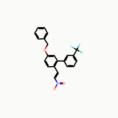 O=[N+]([O-])C=Cc1ccc(OCc2ccccc2)cc1-c1cccc(C(F)(F)F)c1